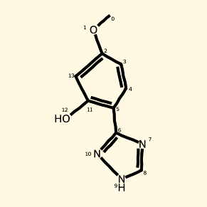 COc1ccc(-c2nc[nH]n2)c(O)c1